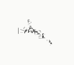 N=Cc1c(NCCCCN2CCCC2)cccc1-c1cccc(COc2cc(OCC3CCOCC3)c(CNC(CO)C(=O)O)cc2Cl)c1Br